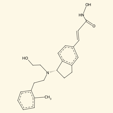 Cc1ccccc1CCN(CCO)[C@H]1CCc2cc(/C=C/C(=O)NO)ccc21